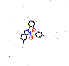 Cc1ccc(S(=O)(=O)n2c(-c3ccccc3)cc3ccc(C)cc32)cc1